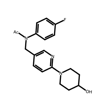 CC(=O)N(Cc1ccc(N2CCC(O)CC2)nc1)c1ccc(F)cc1